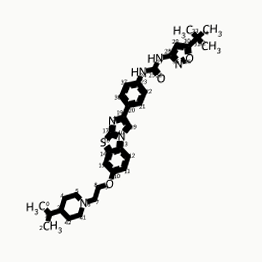 CC(C)C1CCN(CCOc2ccc3c(c2)sc2nc(-c4ccc(NC(=O)Nc5cc(C(C)(C)C)on5)cc4)cn23)CC1